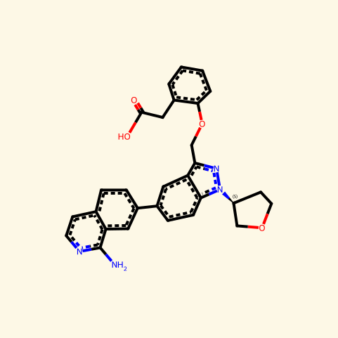 Nc1nccc2ccc(-c3ccc4c(c3)c(COc3ccccc3CC(=O)O)nn4[C@H]3CCOC3)cc12